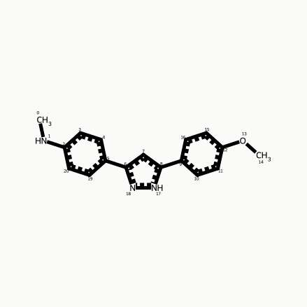 CNc1ccc(-c2cc(-c3ccc(OC)cc3)[nH]n2)cc1